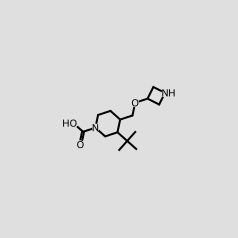 CC(C)(C)C1CN(C(=O)O)CCC1COC1CNC1